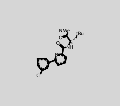 CNC(=O)[C@H](CC(C)(C)C)NC(=O)c1cccc(-c2cccc(Cl)c2)n1